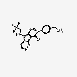 CCc1ccc(-n2cnc3c(NCC(F)(F)F)c4ccnsc-4c3c2=O)cc1